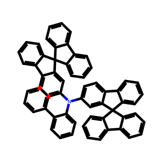 c1ccc(-c2ccccc2N(c2ccc3c(c2)C2(c4ccccc4-c4ccccc42)c2ccccc2-3)c2ccc3c(c2)C2(c4ccccc4-c4ccccc42)c2ccccc2-3)cc1